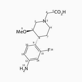 CO[C@H]1CN(CC(=O)O)CC[C@@H]1c1ccc(N)cc1F